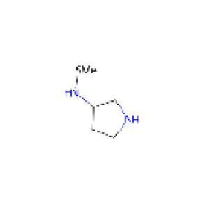 CSNC1CCNC1